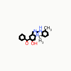 Cc1cccc(C)c1Nc1ncc2cc(C(=O)c3ccccc3)c(O)cc2n1